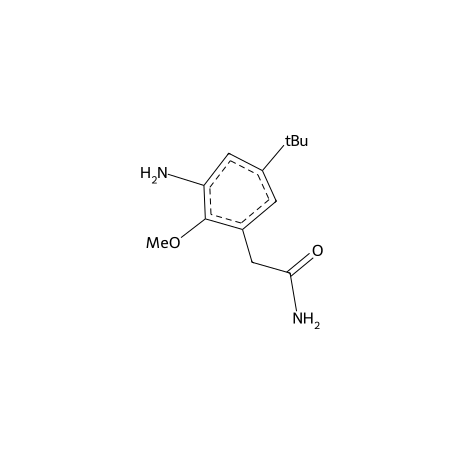 COc1c(N)cc(C(C)(C)C)cc1CC(N)=O